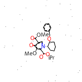 COC(=O)c1cn([C@H]2CCCC[C@@H]2OCc2ccccc2)c(C(=O)OC(C)C)c(OC)c1=O